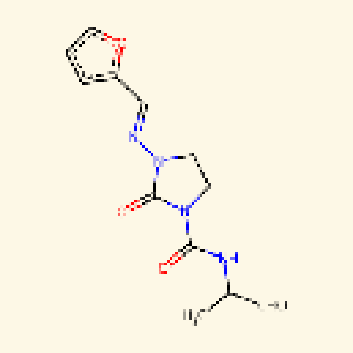 CC(C=O)NC(=O)N1CCN(N=Cc2ccco2)C1=O